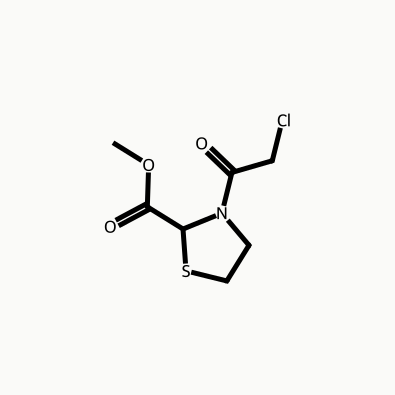 COC(=O)C1SCCN1C(=O)CCl